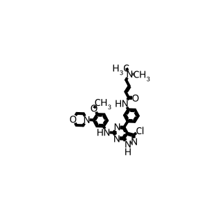 COc1ccc(Nc2nc(-c3cccc(NC(=O)/C=C/CN(C)C)c3)c3c(Cl)n[nH]c3n2)cc1N1CCOCC1